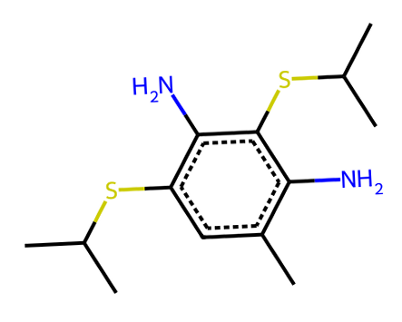 Cc1cc(SC(C)C)c(N)c(SC(C)C)c1N